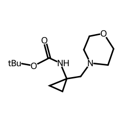 CC(C)(C)OC(=O)NC1(CN2CCOCC2)CC1